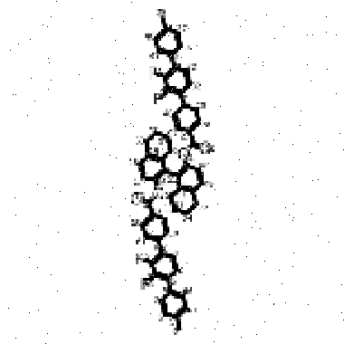 Cc1ccc(-c2ccc(-c3ccc(C(=O)Oc4ccc5c(c4-c4c(OC(=O)C6=CCC(c7ccc(-c8ccc(C)cc8)c(F)c7F)C=C6)ccc6c4CCCC6)CCCC5)cc3)c(F)c2F)cc1